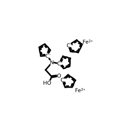 O=C(O)CN([c-]1cccc1)[c-]1cccc1.[Fe+2].[Fe+2].c1cc[cH-]c1.c1cc[cH-]c1